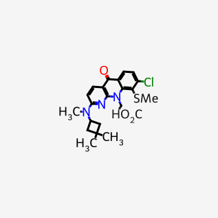 CSc1c(Cl)ccc2c(=O)c3ccc(N(C)C4CC(C)(C)C4)nc3n(CC(=O)O)c12